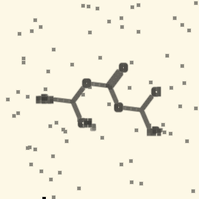 CCCCC(C)OC(=O)OC(Cl)CCC